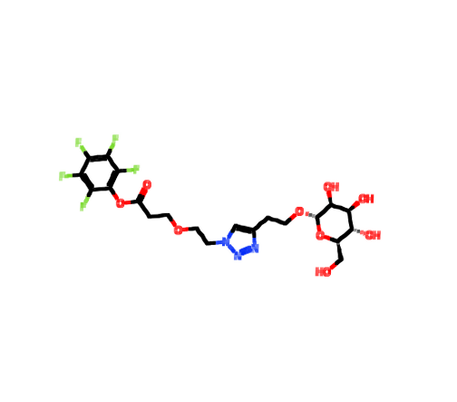 O=C(CCOCCn1cc(CCO[C@H]2O[C@H](CO)[C@@H](O)[C@H](O)[C@@H]2O)nn1)Oc1c(F)c(F)c(F)c(F)c1F